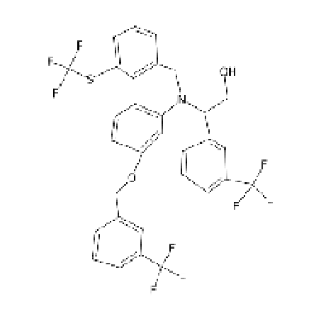 OCC(c1cccc(C(F)(F)F)c1)N(Cc1cccc(SC(F)(F)F)c1)c1cccc(OCc2cccc(C(F)(F)F)c2)c1